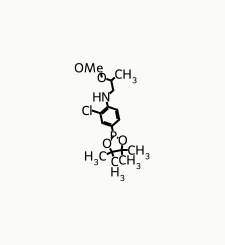 COOC(C)CNc1ccc(P2OC(C)(C)C(C)(C)O2)cc1Cl